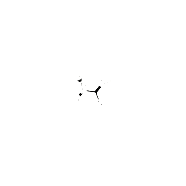 N=C(N)[SH](=O)=O